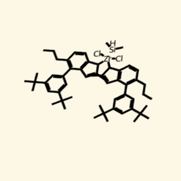 CCCc1ccc2c(c1-c1cc(C(C)(C)C)cc(C(C)(C)C)c1)C=C(C)[CH]2[Zr]([Cl])([Cl])([CH]1C(C)=Cc2c1ccc(CCC)c2-c1cc(C(C)(C)C)cc(C(C)(C)C)c1)[SiH](C)C